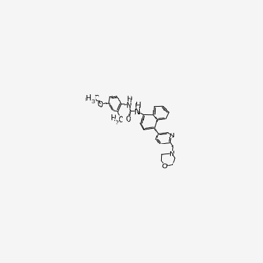 COc1ccc(NC(=O)Nc2ccc(-c3ccc(CN4CCOCC4)nc3)c3ccccc23)c(C)c1